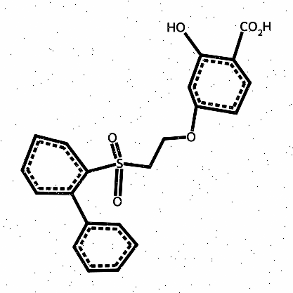 O=C(O)c1ccc(OCCS(=O)(=O)c2ccccc2-c2ccccc2)cc1O